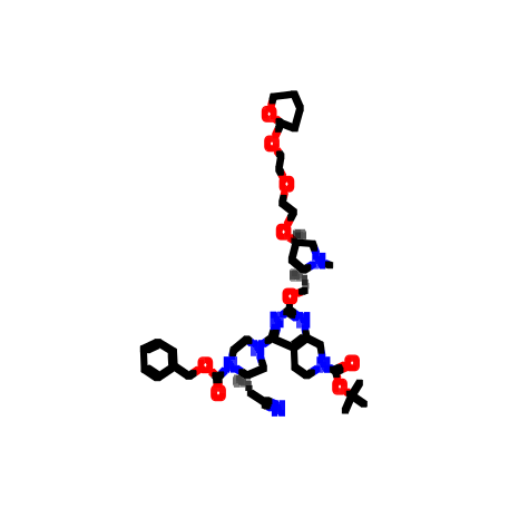 CN1C[C@H](OCCOCCOC2CCCCO2)C[C@H]1COc1nc2c(c(N3CCN(C(=O)OCc4ccccc4)[C@@H](CC#N)C3)n1)CCN(C(=O)OC(C)(C)C)C2